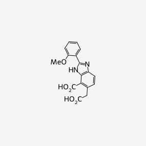 COc1ccccc1-c1nc2ccc(CC(=O)O)c(C(=O)O)c2[nH]1